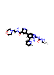 CCNC(=O)Nc1nc2cc(-c3cncc(C(=O)NCCN4CCOCC4)c3)cc(-c3ccccn3)c2[nH]1